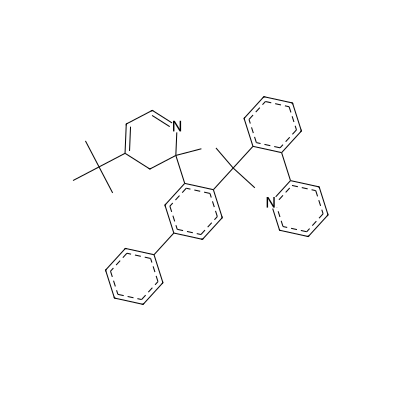 CC(C)(C)C1=CC=NC(C)(c2cc(-c3ccccc3)ccc2C(C)(C)c2ccccc2-c2ccccn2)C1